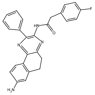 Nc1ccc2c(c1)CCc1nc(NC(=O)Cc3ccc(F)cc3)c(-c3ccccc3)nc1-2